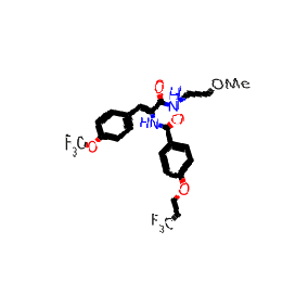 COCCNC(=O)C(=Cc1ccc(OC(F)(F)F)cc1)NC(=O)c1ccc(OCCC(F)(F)F)cc1